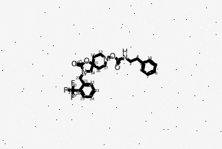 O=C(NCCc1ccccc1)ON1CCC2(CC1)CN(Cc1ccccc1C(F)(F)F)C(=O)O2